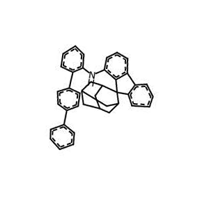 c1ccc(-c2ccc(-c3ccccc3Nc3cccc4c3C3(c5ccccc5-4)C4CC5CC(C4)CC3C5)cc2)cc1